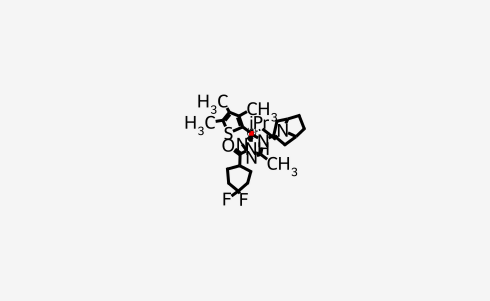 Cc1sc([C@H](CCN2C3CCC2CC(n2c(C)nnc2C(C)C)C3)NC(=O)C2CCC(F)(F)CC2)c(C)c1C